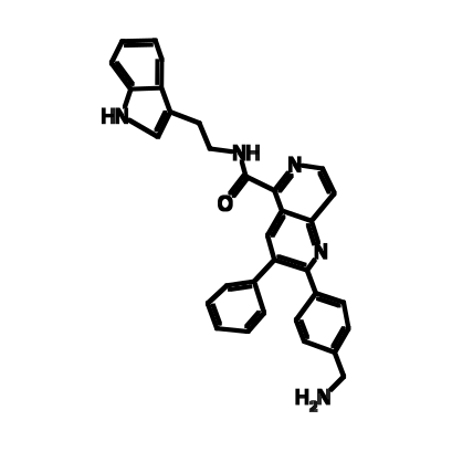 NCc1ccc(-c2nc3ccnc(C(=O)NCCc4c[nH]c5ccccc45)c3cc2-c2ccccc2)cc1